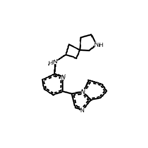 c1cc(NC2CC3(CCNC3)C2)nc(-c2cnc3ccccn23)c1